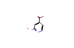 CCOc1cc(C(=O)C=O)ccn1